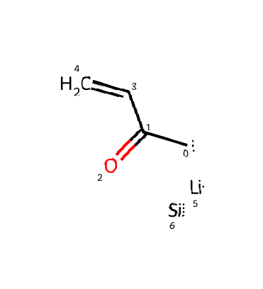 [C]C(=O)C=C.[Li].[Si]